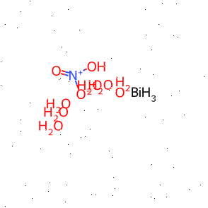 O.O.O.O.O.O.O=[N+]([O-])O.[BiH3]